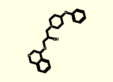 OC(COC1COCc2ccccc21)CN1CCC(Oc2ccccc2)CC1